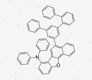 c1ccc(-c2cc(-c3ccccc3-c3ccccc3)cc(-c3cc4c(oc5cccc(N(c6ccccc6)c6ccccc6)c54)c4ccccc34)c2)cc1